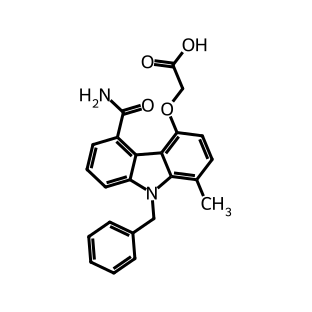 Cc1ccc(OCC(=O)O)c2c3c(C(N)=O)cccc3n(Cc3ccccc3)c12